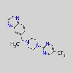 C[C@H](c1ccc2nccnc2c1)N1CCN(c2ncc(C(F)(F)F)cn2)CC1